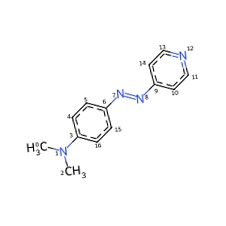 CN(C)c1ccc(/N=N/c2ccncc2)cc1